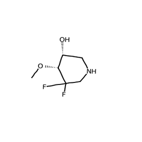 CO[C@@H]1[C@H](O)CNCC1(F)F